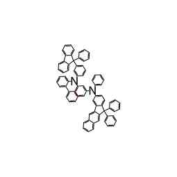 c1ccc(-c2ccccc2N(c2cccc(N(c3ccccc3)c3ccc4c(c3)-c3cc5ccccc5cc3C4(c3ccccc3)c3ccccc3)c2)c2cccc(C3(c4ccccc4)c4ccccc4-c4ccccc43)c2)cc1